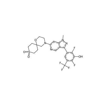 Cn1nc(-c2cc(C(F)(F)F)c(F)c(O)c2F)c2cnc(N3CCOC4(CCS(=O)(=O)CC4)C3)cc21